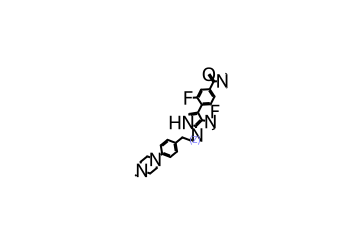 C=Nc1c(-c2c(F)cc(C(=O)N(C)C)cc2F)c[nH]c1/N=C\Cc1ccc(N2CCN(C)CC2)cc1